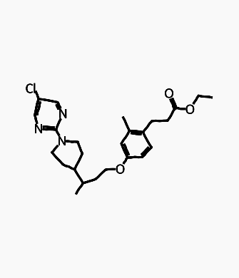 CCOC(=O)CCc1ccc(OCCC(C)C2CCN(c3ncc(Cl)cn3)CC2)cc1C